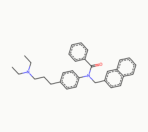 CCN(CC)CCCc1ccc(N(Cc2ccc3ccccc3c2)C(=O)c2ccccc2)cc1